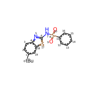 CC(C)(C)c1ccc2nc(NS(=O)(=O)c3ccccc3)sc2c1